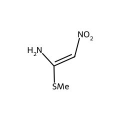 CSC(N)=C[N+](=O)[O-]